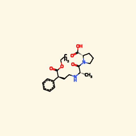 CCOC(=O)[C@@H](CCN[C@@H](C)C(=O)N1CCC[C@H]1C(=O)O)c1ccccc1